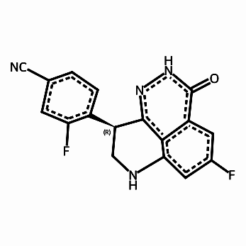 N#Cc1ccc([C@@H]2CNc3cc(F)cc4c(=O)[nH]nc2c34)c(F)c1